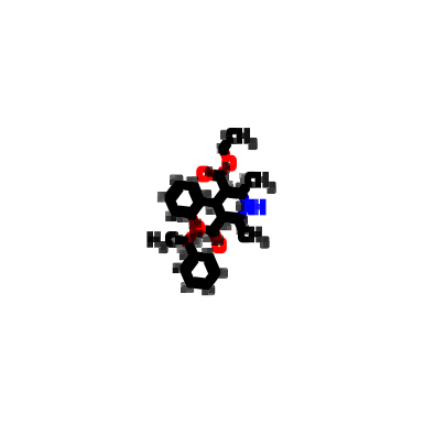 CCOC(=O)C1=C(C)NC(C)=C(C(=O)OCC)C1c1ccccc1OCc1ccccc1